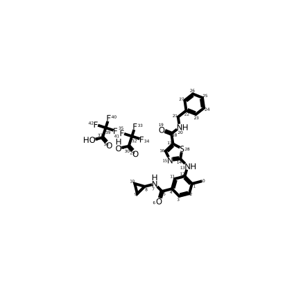 Cc1ccc(C(=O)NC2CC2)cc1Nc1ncc(C(=O)NCc2ccccc2)s1.O=C(O)C(F)(F)F.O=C(O)C(F)(F)F